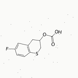 O=C(O)OC1CSc2ccc(F)cc2C1